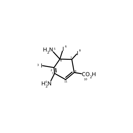 NC1=C(I)C(N)(I)C(I)C(C(=O)O)=C1